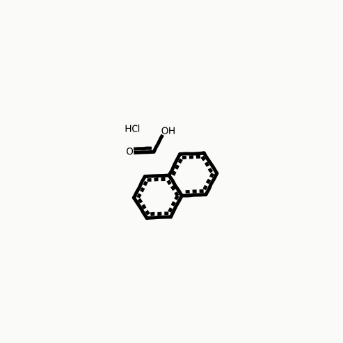 Cl.O=CO.c1ccc2ccccc2c1